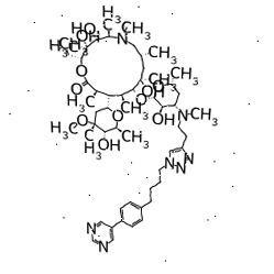 CC[C@H]1OC(=O)[C@H](C)C([C@H]2C[C@@](C)(OC)[C@@H](O)[C@H](C)O2)[C@H](C)[C@@H](O[C@@H]2O[C@H](C)C[C@H](N(C)CCc3cn(CCCCc4ccc(-c5cncnc5)cc4)nn3)[C@H]2O)[C@](C)(O)C[C@@H](C)CN(C)[C@H](C)[C@@H](O)[C@]1(C)O